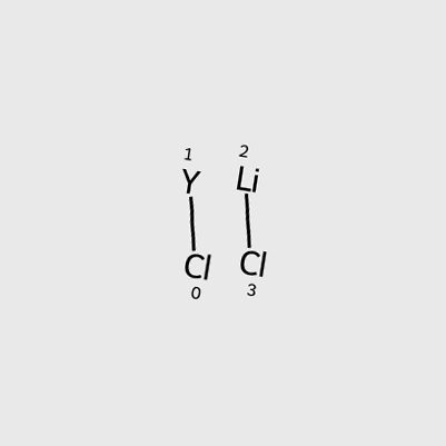 [Cl][Y].[Li][Cl]